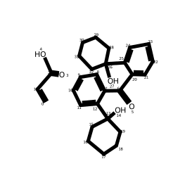 C=CC(=O)O.O=C(c1ccccc1C1(O)CCCCC1)c1ccccc1C1(O)CCCCC1